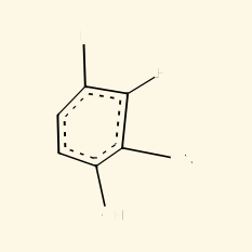 N#Cc1c(O)ccc(F)c1F